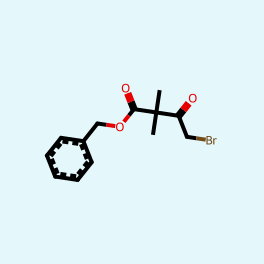 CC(C)(C(=O)CBr)C(=O)OCc1ccccc1